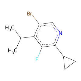 CC(C)c1c(Br)cnc(C2CC2)c1F